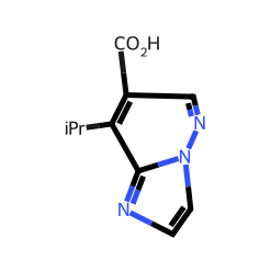 CC(C)c1c(C(=O)O)cnn2ccnc12